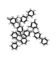 Cc1cc(C)c(N(c2ccc(-c3ccccc3)cc2)c2ccc(C3(c4ccc(N(c5ccc(-c6ccccc6)cc5)c5c(C)cc(C)cc5C)cc4)c4ccccc4N(c4ccccc4)c4ccccc43)cc2)c(C)c1